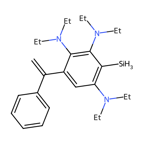 C=C(c1ccccc1)c1cc(N(CC)CC)c([SiH3])c(N(CC)CC)c1N(CC)CC